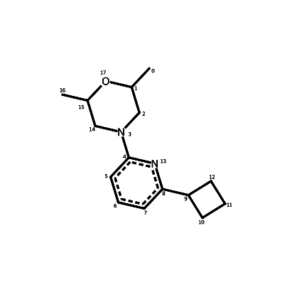 CC1CN(c2cccc(C3CCC3)n2)CC(C)O1